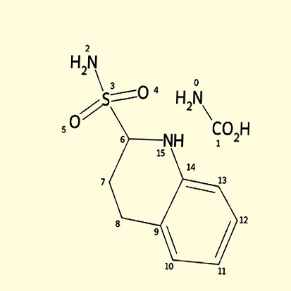 NC(=O)O.NS(=O)(=O)C1CCc2ccccc2N1